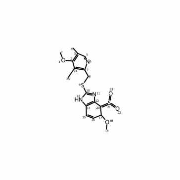 COc1c(C)cnc(CSc2nc3c([nH]2)C=CC(OC)C3=S(=O)=O)c1C